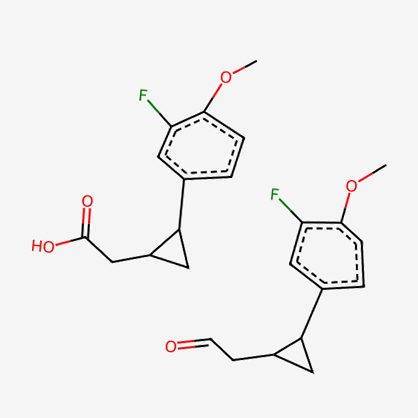 COc1ccc(C2CC2CC(=O)O)cc1F.COc1ccc(C2CC2CC=O)cc1F